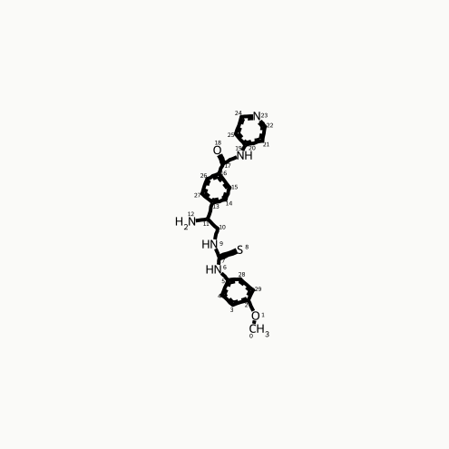 COc1ccc(NC(=S)NCC(N)c2ccc(C(=O)Nc3ccncc3)cc2)cc1